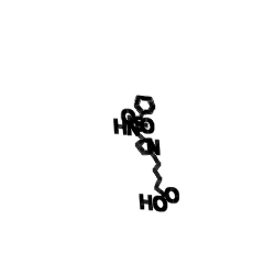 O=C(O)CCCCc1ccc(NS(=O)(=O)c2ccccc2)cn1